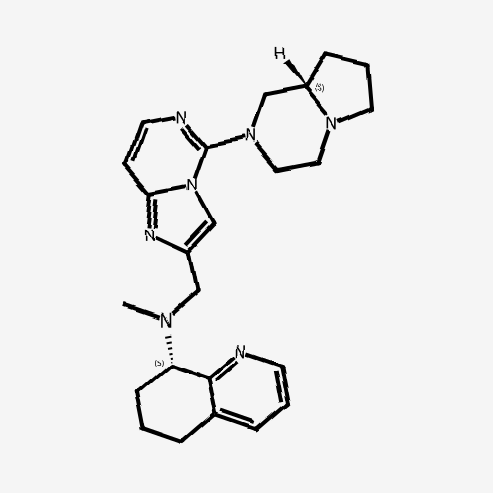 CN(Cc1cn2c(N3CCN4CCC[C@H]4C3)nccc2n1)[C@H]1CCCc2cccnc21